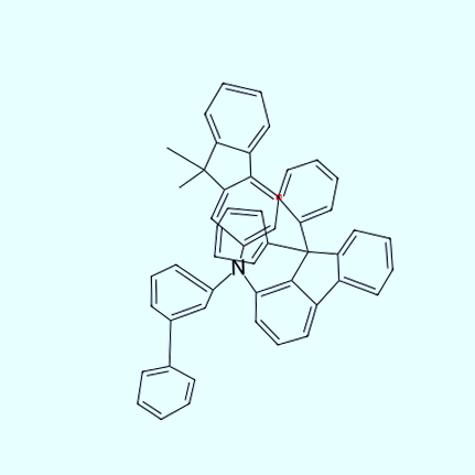 CC1(C)c2ccccc2-c2ccc(N(c3cccc(-c4ccccc4)c3)c3cccc4c3C(c3ccccc3)(c3ccccc3)c3ccccc3-4)cc21